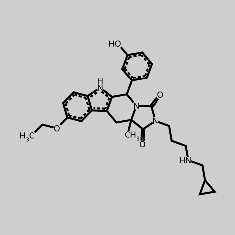 CCOc1ccc2[nH]c3c(c2c1)CC1(C)C(=O)N(CCCNCC2CC2)C(=O)N1C3c1cccc(O)c1